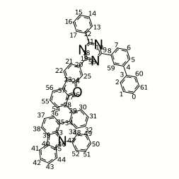 c1ccc(-c2cccc(-c3nc(-c4ccccc4)nc(-c4ccc5c(c4)oc4c(-c6ccccc6-c6cccc7c8ccccc8n(-c8ccccc8)c67)cccc45)n3)c2)cc1